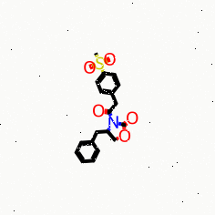 CS(=O)(=O)c1ccc(CC(=O)N2C(=O)OCC2Cc2ccccc2)cc1